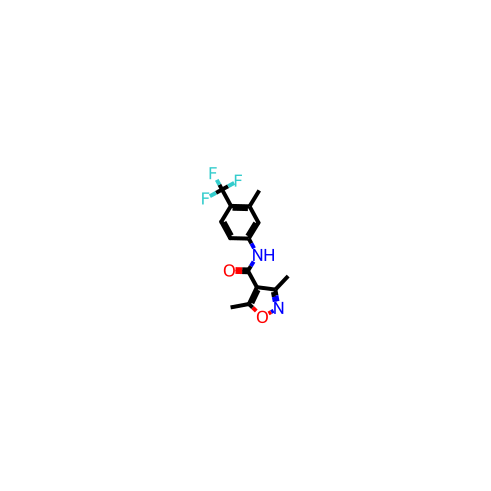 Cc1cc(NC(=O)c2c(C)noc2C)ccc1C(F)(F)F